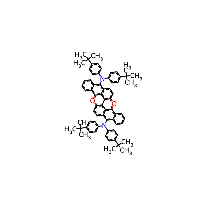 CC(C)(C)c1ccc(N(c2ccc(C(C)(C)C)cc2)c2c3ccccc3c3oc4ccc5c(N(c6ccc(C(C)(C)C)cc6)c6ccc(C(C)(C)C)cc6)c6ccccc6c6oc7ccc2c3c7-c4c56)cc1